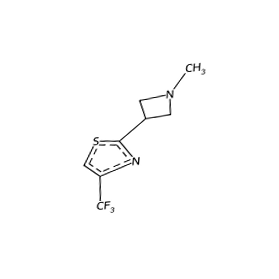 CN1CC(c2nc(C(F)(F)F)cs2)C1